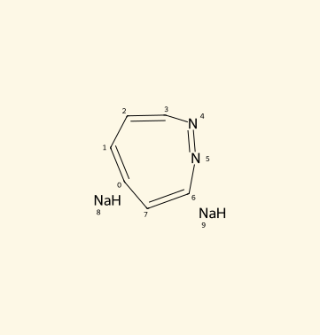 C1=CC=CN=NC=C1.[NaH].[NaH]